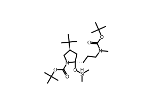 CN(CCC[C@@]1(O[SiH](C)C)C[C@H](C(C)(C)C)CN1C(=O)OC(C)(C)C)C(=O)OC(C)(C)C